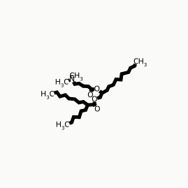 CCCCCCCCCCC(COC(=O)C(CCCCCC)CCCCCCCC)OC(=O)CCCCN(C)C